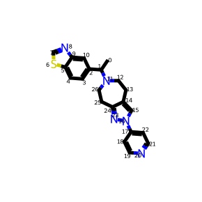 CC(c1ccc2scnc2c1)N1CCc2cn(-c3ccncc3)nc2CC1